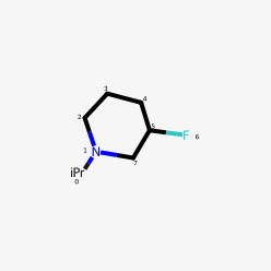 CC(C)N1CCCC(F)C1